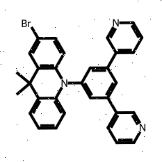 CC1(C)c2ccccc2N(c2cc(-c3cccnc3)cc(-c3cccnc3)c2)c2ccc(Br)cc21